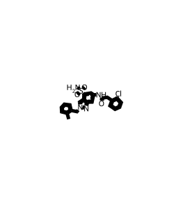 Cc1ccccc1Cn1cc2c(S(N)(=O)=O)cc(NC(=O)Cc3ccccc3Cl)cc2n1